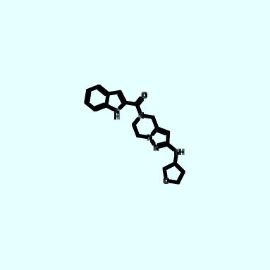 O=C(c1cc2ccccc2[nH]1)N1CCn2nc(NC3CCOC3)cc2C1